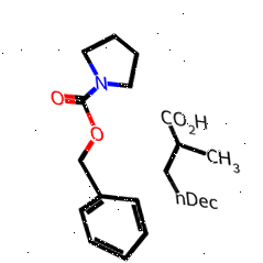 CCCCCCCCCCCC(C)C(=O)O.O=C(OCc1ccccc1)N1CCCC1